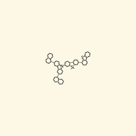 C[Si]1(C)c2cc(-c3cccc4c3sc3ccccc34)ccc2-c2ccc(-n3c4ccc(-c5cccc6ccccc56)cc4c4cc(-c5cccc6ccccc56)ccc43)cc21